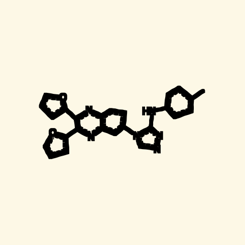 Cc1ccc(Nc2nncn2-c2ccc3nc(-c4ccco4)c(-c4ccco4)nc3c2)cc1